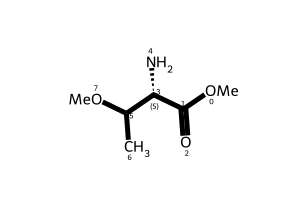 COC(=O)[C@@H](N)C(C)OC